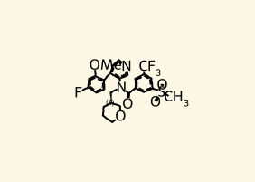 COc1cc(F)ccc1-c1ccncc1N(C[C@@H]1CCCOC1)C(=O)c1cc(C(F)(F)F)cc(S(C)(=O)=O)c1